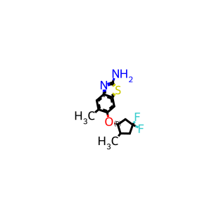 Cc1cc2nc(N)sc2cc1O[C@@H]1CC(F)(F)CC1C